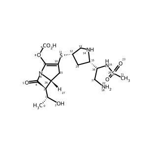 C[C@@H](O)[C@H]1C(=O)N2C(OC(=O)O)=C(S[C@@H]3CN[C@H](C(CN)NS(C)(=O)=O)C3)C[C@H]12